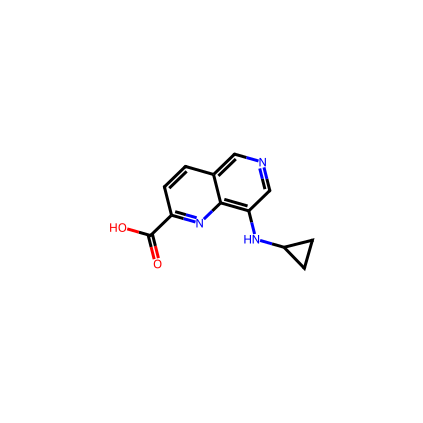 O=C(O)c1ccc2cncc(NC3CC3)c2n1